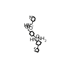 COP(=O)(Cc1ccc(C(=O)Nc2cc(-c3cccs3)ccc2N)cc1)NCc1cccnc1